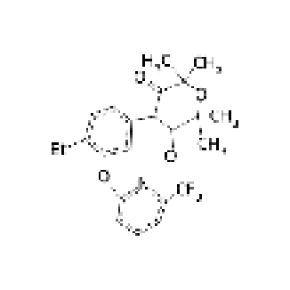 CCc1ccc(C2C(=O)C(C)(C)OC(C)(C)C2=O)cc1Oc1cccc(C(F)(F)F)n1